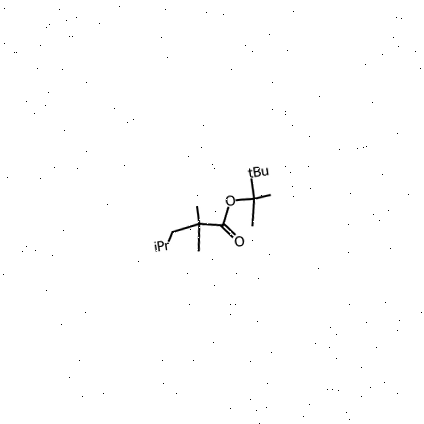 CC(C)CC(C)(C)C(=O)OC(C)(C)C(C)(C)C